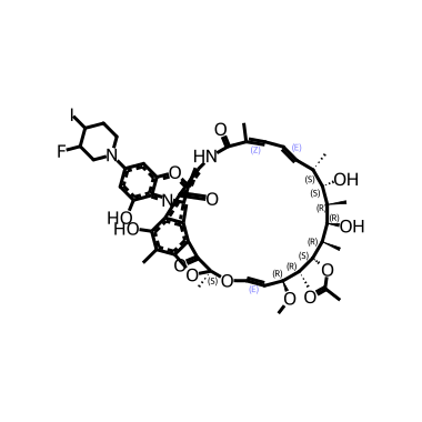 CO[C@H]1/C=C/O[C@@]2(C)Oc3c(C)c(O)c4c(=O)c(c5oc6cc(N7CCC(I)C(F)C7)cc(O)c6nc-5c4c3C2=O)NC(=O)/C(C)=C\C=C\[C@H](C)[C@H](O)[C@@H](C)[C@@H](O)[C@@H](C)[C@H](OC(C)=O)[C@@H]1C